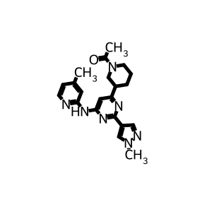 CC(=O)N1CCCC(c2cc(Nc3cc(C)ccn3)nc(-c3cnn(C)c3)n2)C1